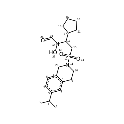 CC(C)c1ccc2c(c1)CCN(S(=O)(=O)CC(C1CCCC1)N(O)C=O)C2